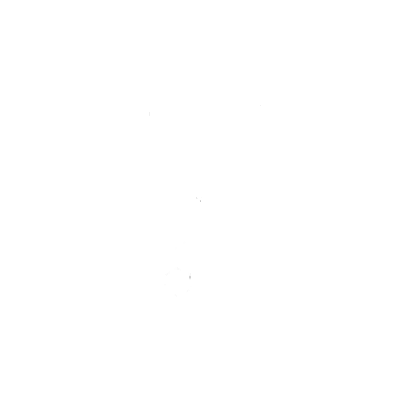 CCCCCCCCN(CCC=Cc1ccccc1)CCCCCCCC